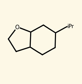 CC(C)C1CCC2CCOC2C1